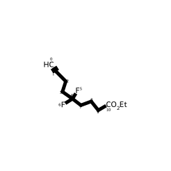 C#CCCC(F)(F)CCCC(=O)OCC